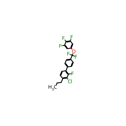 CCCc1ccc(-c2ccc(C(F)(F)Oc3cc(F)c(F)c(F)c3)cc2)c(F)c1Cl